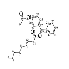 CC(=O)O.CCCCC/C=C/CC(=O)OC(c1ccccc1)c1ccccc1